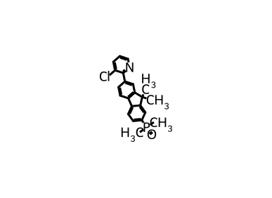 CC1(C)c2cc(-c3ncccc3Cl)ccc2-c2ccc(P(C)(C)=O)cc21